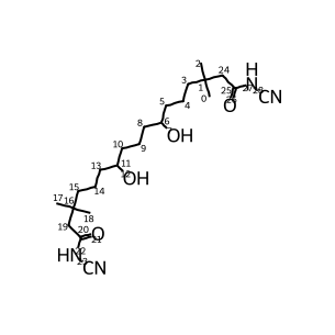 CC(C)(CCCC(O)CCCC(O)CCCC(C)(C)CC(=O)NC#N)CC(=O)NC#N